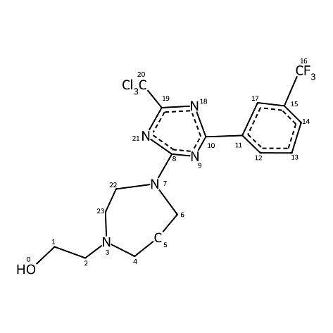 OCCN1CCCN(c2nc(-c3cccc(C(F)(F)F)c3)nc(C(Cl)(Cl)Cl)n2)CC1